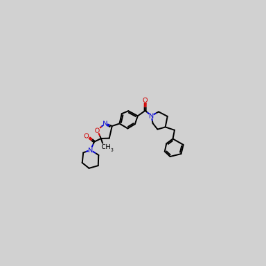 CC1(C(=O)N2CCCCC2)CC(c2ccc(C(=O)N3CCC(Cc4ccccc4)CC3)cc2)=NO1